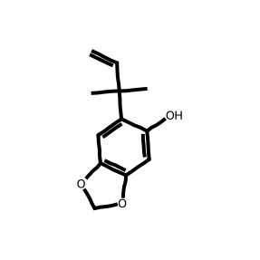 C=CC(C)(C)c1cc2c(cc1O)OCO2